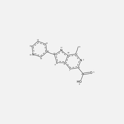 Cc1nc(C(=O)O)cc2sc(-c3cccnc3)nc12